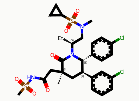 CC[C@@H](CN(C)S(=O)(=O)C1CC1)N1C(=O)[C@](C)(CC(=O)NS(C)(=O)=O)C[C@H](c2cccc(Cl)c2)[C@H]1c1ccc(Cl)cc1